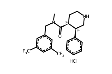 CN(Cc1cc(C(F)(F)F)cc(C(F)(F)F)c1)C(=O)[C@H]1CCNC[C@H]1c1ccccc1.Cl